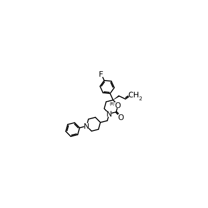 C=CC[C@]1(c2ccc(F)cc2)CCN(CC2CCN(c3ccccc3)CC2)C(=O)O1